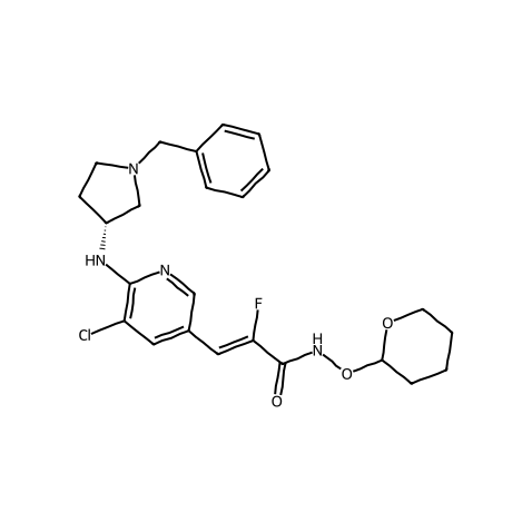 O=C(NOC1CCCCO1)C(F)=Cc1cnc(N[C@@H]2CCN(Cc3ccccc3)C2)c(Cl)c1